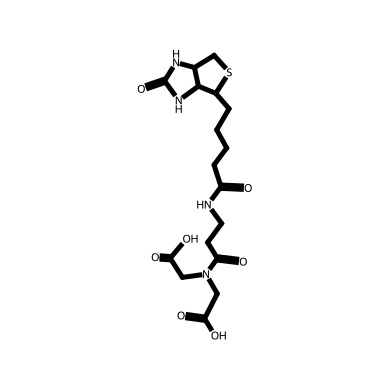 O=C(O)CN(CC(=O)O)C(=O)CCNC(=O)CCCCC1SCC2NC(=O)NC21